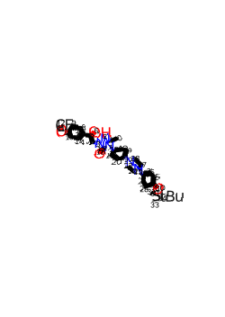 Cc1nn(CC(O)c2ccc(OC(F)(F)F)cc2)c(=O)n1-c1ccc(N2CCN(c3ccc(O[Si](C)(C)C(C)(C)C)cc3)CC2)cc1